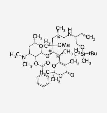 C=CC(CO[Si](C)(C)C(C)(C)C)NC[C@H](C)CC(C)(OC)[C@H](OC1OC(C)CC(N(C)C)C1OC(=O)c1ccccc1)[C@@H](C)C1=C(C)C(=O)OC(C)(C)O1